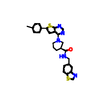 Cc1ccc(-c2cc3c(N4CCC[C@H](C(=O)NCc5ccc6scnc6c5)C4)ncnc3s2)cc1